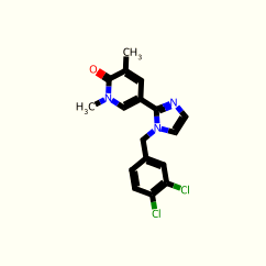 Cc1cc(-c2nccn2Cc2ccc(Cl)c(Cl)c2)cn(C)c1=O